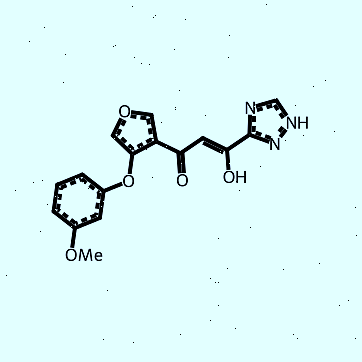 COc1cccc(Oc2cocc2C(=O)C=C(O)c2nc[nH]n2)c1